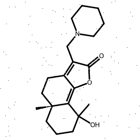 CC1(O)CCC[C@]2(C)CCC3=C(CN4CCCCC4)C(=O)OC3=C12